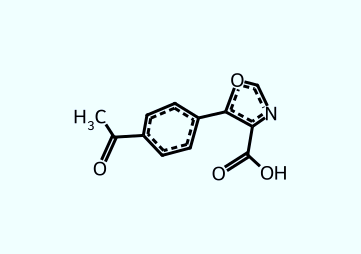 CC(=O)c1ccc(-c2ocnc2C(=O)O)cc1